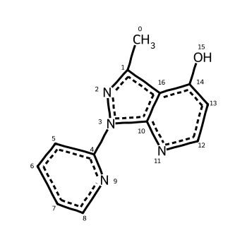 Cc1nn(-c2ccccn2)c2nccc(O)c12